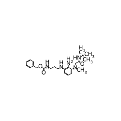 CN(CC(=O)NC(C)(C)C)c1cccc(NCCCNC(=O)OCc2ccccc2)c1N